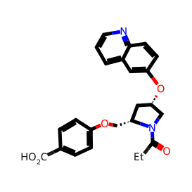 CCC(=O)N1C[C@@H](Oc2ccc3ncccc3c2)C[C@H]1COc1ccc(C(=O)O)cc1